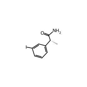 C[C@@H](C(N)=O)c1cccc(I)c1